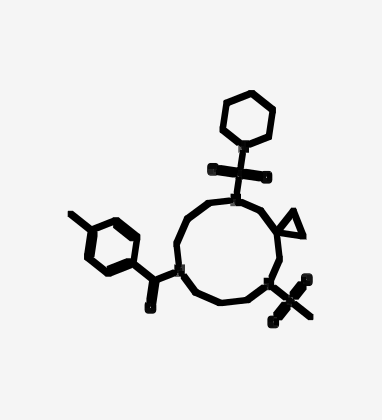 Cc1ccc(C(=O)N2CCCN(S(C)(=O)=O)CC3(CC3)CN(S(=O)(=O)N3CCCCC3)CCC2)cc1